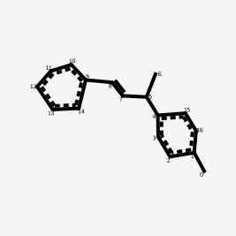 Cc1ccc(C(C)C=Cc2ccccc2)cc1